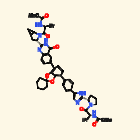 COC(=O)N[C@H](C(=O)N1CCC[C@H]1c1ncc(-c2ccc(-c3ccc(-c4ccc5nc([C@@H]6CC7CC7N6C(=O)[C@@H](NC(=O)OC)C(C)C)[nH]c(=O)c5c4)c4c3OC3(CCCCC3)O4)cc2)[nH]1)C(C)C